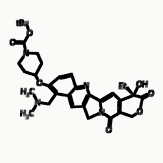 CC[C@@]1(O)C(=O)OCc2c1cc1n(c2=O)Cc2cc3c(CN(C)C)c(OC4CCN(C(=O)OC(C)(C)C)CC4)ccc3nc2-1